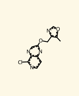 Cc1ocnc1COc1cnc2c(Cl)nccc2n1